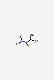 CCC([SiH2]N(CC)CC)C(C)(C)C